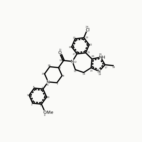 COc1cccc(N2CCC(C(=O)N3CCc4nc(C)[nH]c4-c4cc(Cl)ccc43)CC2)c1